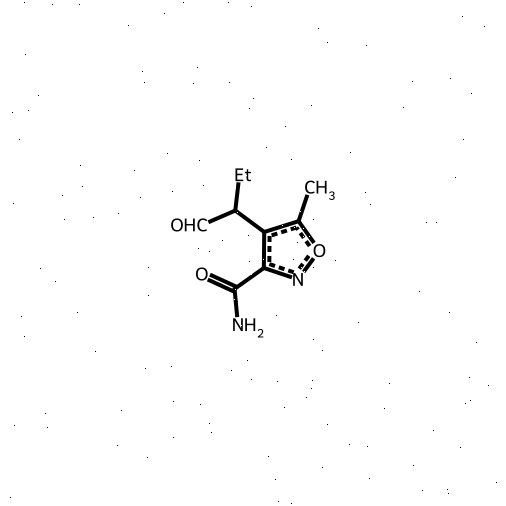 CCC(C=O)c1c(C(N)=O)noc1C